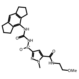 COCCNC(=O)c1cc([S+]([O-])NC(=O)Nc2c3c(cc4c2CCC4)CCC3)nn1C